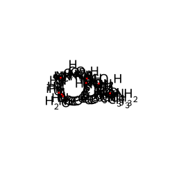 CC(C)[C@@H]1NC(=O)[C@H](Cc2c[nH]c3ccccc23)NC(=O)[C@@H]2CSCCCOc3cc(cc(c3)OCCCSC[C@H](NC(=O)[C@H](C)NC(C)(C)C(=O)CN(C)C(C)(C)C(=O)CCN)C(=O)N[C@@H]([C@@H](C)O)C(=O)N[C@@H](CCC(=O)O)C(=O)N2)OCCCSC[C@@H](C(N)=O)NC(=O)[C@@H]2CCCN2C(=O)[C@H](C(C)C)NC(=O)[C@H](Cc2c[nH]c3ccccc23)NC(=O)CNC(=O)[C@H](CC(=O)O)NC1=O